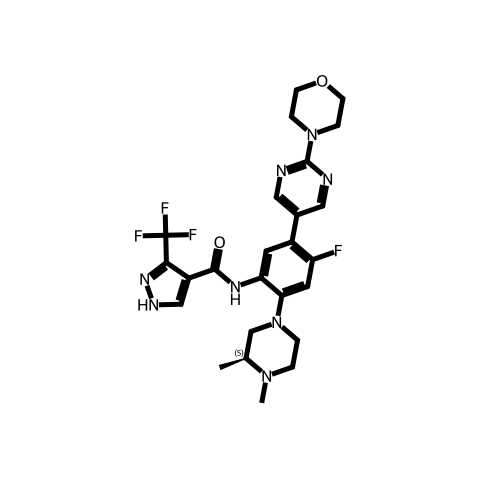 C[C@H]1CN(c2cc(F)c(-c3cnc(N4CCOCC4)nc3)cc2NC(=O)c2c[nH]nc2C(F)(F)F)CCN1C